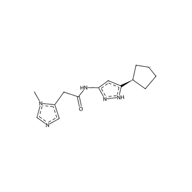 Cn1cncc1CC(=O)Nc1cc([C@H]2C[CH]CC2)[nH]n1